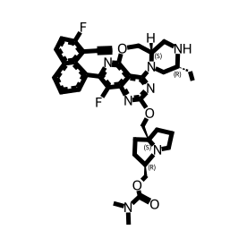 C#Cc1c(F)ccc2cccc(-c3nc4c5c(nc(OC[C@@]67CCCN6[C@@H](COC(=O)N(C)C)CC7)nc5c3F)N3C[C@@H](CC)NC[C@H]3CO4)c12